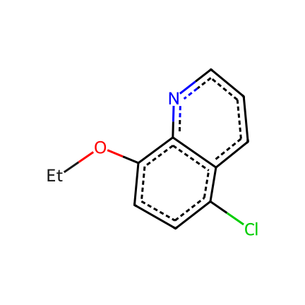 CCOc1ccc(Cl)c2cccnc12